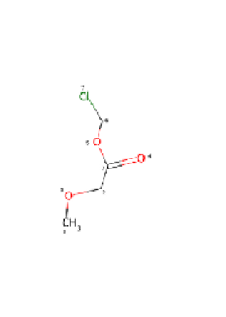 COCC(=O)OCCl